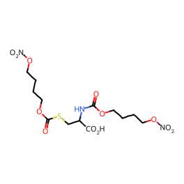 O=C(NC(CSC(=O)OCCCCO[N+](=O)[O-])C(=O)O)OCCCCO[N+](=O)[O-]